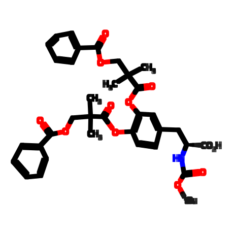 CC(C)(C)OC(=O)N[C@@H](Cc1ccc(OC(=O)C(C)(C)COC(=O)c2ccccc2)c(OC(=O)C(C)(C)COC(=O)c2ccccc2)c1)C(=O)O